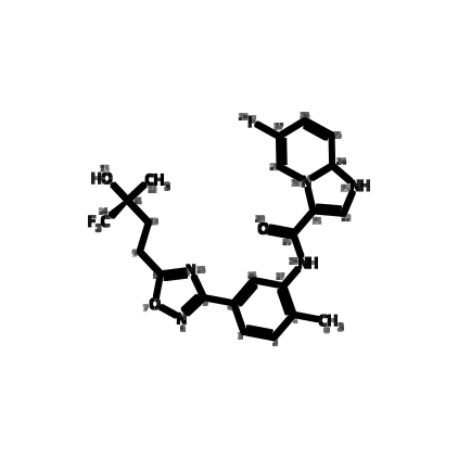 Cc1ccc(-c2noc(CC[C@@](C)(O)C(F)(F)F)n2)cc1NC(=O)C1=CNC2C=CC(F)=CN12